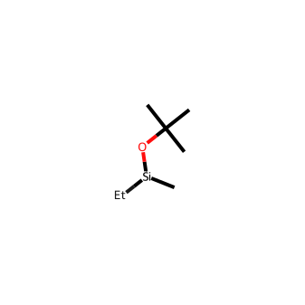 CC[Si](C)OC(C)(C)C